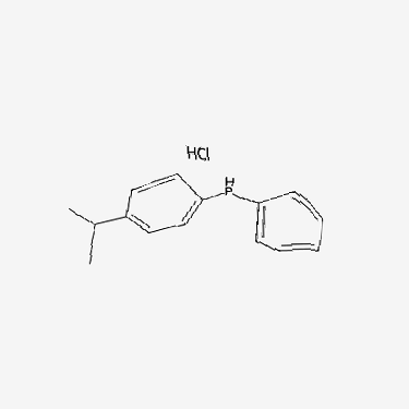 CC(C)c1ccc(Pc2ccccc2)cc1.Cl